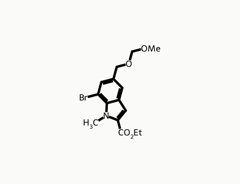 CCOC(=O)c1cc2cc(COCOC)cc(Br)c2n1C